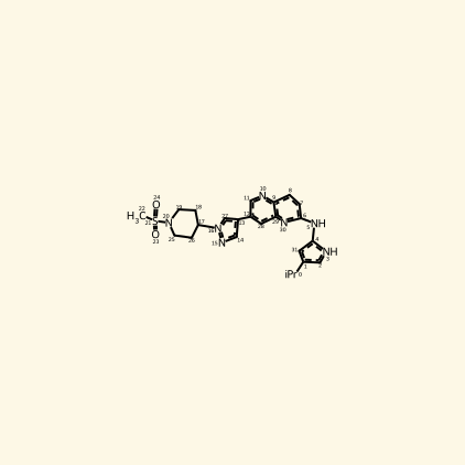 CC(C)c1c[nH]c(Nc2ccc3ncc(-c4cnn(C5CCN(S(C)(=O)=O)CC5)c4)cc3n2)c1